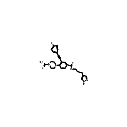 CC(=O)N1CCN(c2ccc(C(=O)NCCCc3cn[nH]c3)cc2C#Cc2ccc(F)cc2)CC1